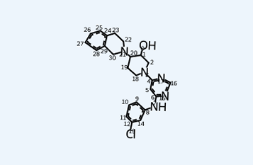 OC1CN(c2cc(Nc3cccc(Cl)c3)ncn2)CCC1N1CCc2ccccc2C1